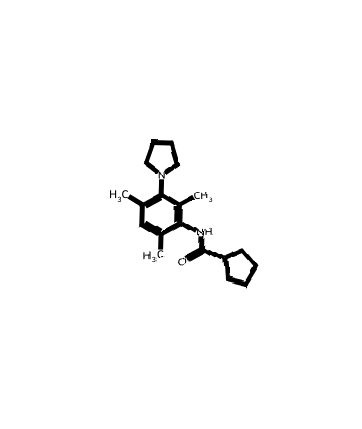 Cc1cc(C)c(N2CCCC2)c(C)c1NC(=O)C1CCCC1